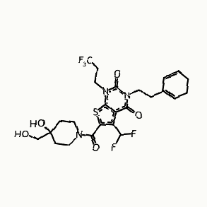 O=C(c1sc2c(c1C(F)F)c(=O)n(CCC1=CCCC=C1)c(=O)n2CCC(F)(F)F)N1CCC(O)(CO)CC1